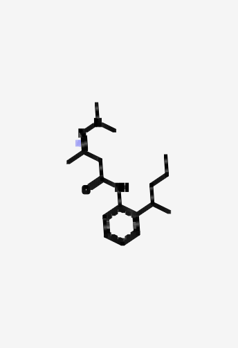 CCCC(C)c1ccccc1NC(=O)C/C(C)=N\N(C)C